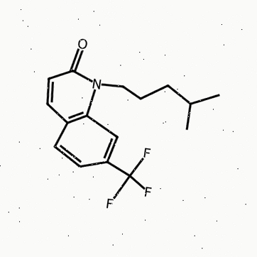 CC(C)CCCn1c(=O)ccc2ccc(C(F)(F)F)cc21